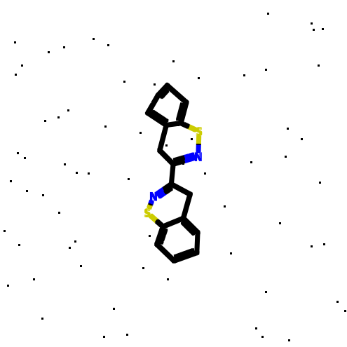 c1ccc2c(c1)CC(C1=NSc3ccccc3C1)=NS2